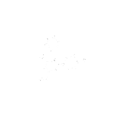 CCN1CCN(c2nc(C)cc(CC#N)n2)CC1.c1ccncc1